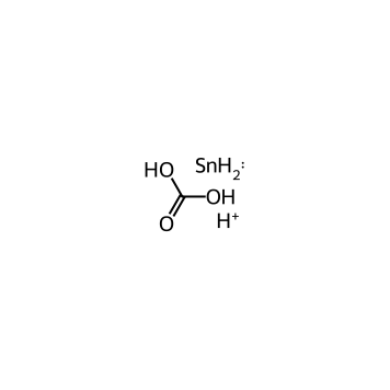 O=C(O)O.[H+].[SnH2]